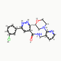 O=C(NCc1cccnc1N1CCOCC1)c1cnnc(-c2cccc(Cl)c2)c1